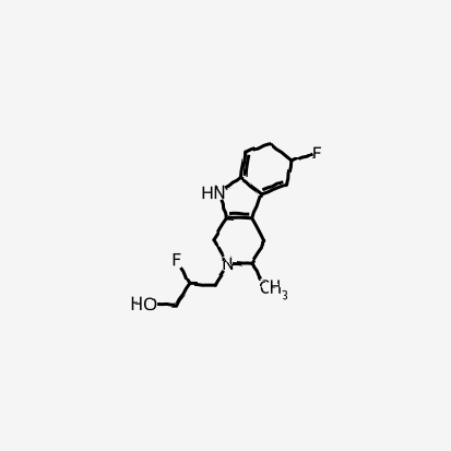 CC1Cc2c([nH]c3c2=CC(F)CC=3)CN1CC(F)CO